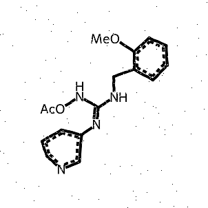 COc1ccccc1CNC(=Nc1cccnc1)NOC(C)=O